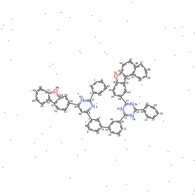 c1ccc(-c2nc(-c3cccc(-c4cccc(-c5nc(-c6ccccc6)nc(-c6ccc7oc8ccc9ccccc9c8c7c6)n5)c4)c3)cc(-c3ccc4c(c3)oc3ccccc34)n2)cc1